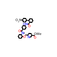 COC(=O)c1ccc(COc2ccccc2N(C)C(=O)c2ccc(NC(=O)c3ccccc3-c3ccc([N+](=O)[O-])cc3)cc2)nc1